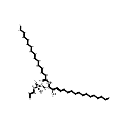 CCCCCCCCCCCCC/C=C/[C@@H](O)[C@H](COP(=O)(O)OCCC)NC(=O)CCCCCCCCCCCCCCC